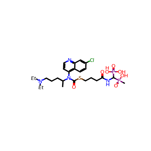 CCN(CC)CCCC(C)N(C(=O)SCCCC(=O)NC(P(C)(=O)O)P(=O)(O)O)c1ccnc2cc(Cl)ccc12